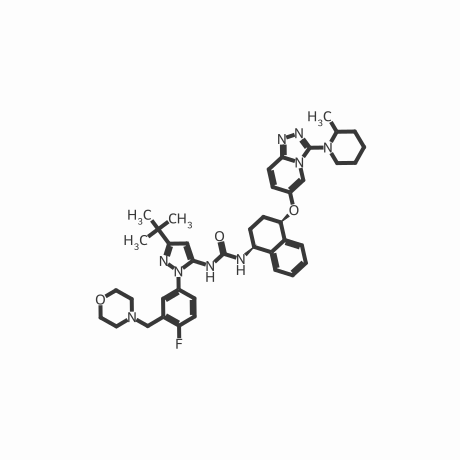 CC1CCCCN1c1nnc2ccc(O[C@@H]3CC[C@H](NC(=O)Nc4cc(C(C)(C)C)nn4-c4ccc(F)c(CN5CCOCC5)c4)c4ccccc43)cn12